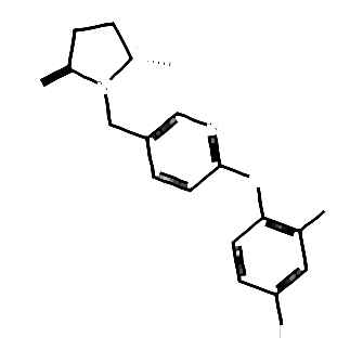 C[C@H]1CCC(=O)N1Cc1ccc(Oc2ccc(F)cc2F)nc1